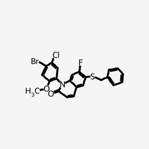 COc1cc(Br)c(Cl)cc1-n1c(=O)ccc2cc(SCc3ccccc3)c(F)cc21